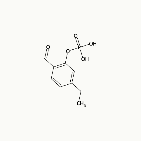 CCc1ccc(C=O)c(OP(=O)(O)O)c1